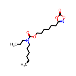 C=CCCCCN(CCC)C(=O)OCCCCCCc1noc(=O)o1